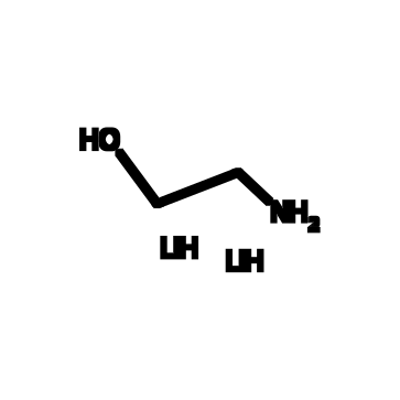 NCCO.[LiH].[LiH]